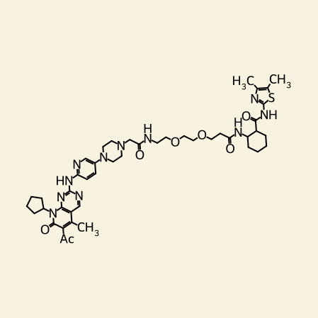 CC(=O)c1c(C)c2cnc(Nc3ccc(N4CCN(CC(=O)NCCOCCOCCC(=O)NC5CCCCC5C(=O)Nc5nc(C)c(C)s5)CC4)cn3)nc2n(C2CCCC2)c1=O